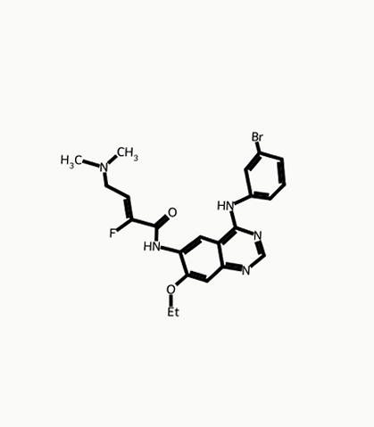 CCOc1cc2ncnc(Nc3cccc(Br)c3)c2cc1NC(=O)/C(F)=C/CN(C)C